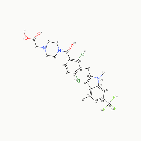 COC(=O)CN1CCN(C(=O)c2ccc(Cl)c(Cc3cc4c(C)cc(C(F)(F)F)cc4n3C)c2Cl)CC1